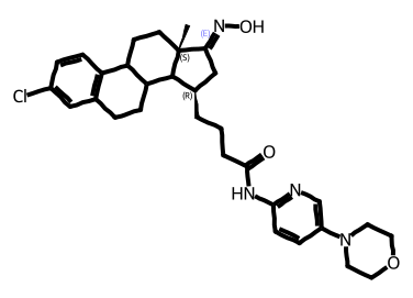 C[C@]12CCC3c4ccc(Cl)cc4CCC3C1[C@H](CCCC(=O)Nc1ccc(N3CCOCC3)cn1)C/C2=N\O